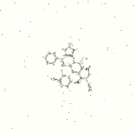 Cn1cc(Nc2c(C#N)cnc3c(Cl)cc(N[C@@H](c4ccccc4)c4c[nH]nn4)cc23)ccc1=O